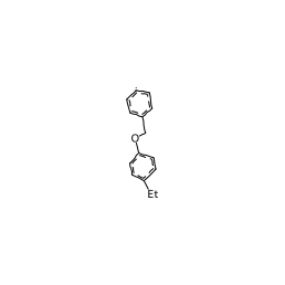 CCc1ccc(OCc2cc[c]cc2)cc1